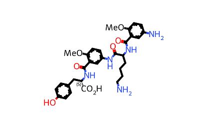 COc1ccc(N)cc1C(=O)NC(CCCCN)C(=O)Nc1ccc(OC)c(C(=O)N[C@@H](Cc2ccc(O)cc2)C(=O)O)c1